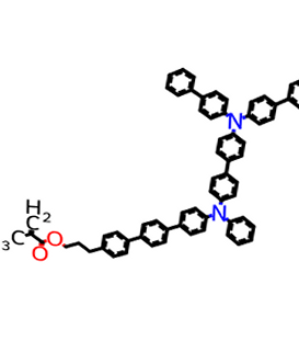 C=C(C)C(=O)OCCCc1ccc(-c2ccc(-c3ccc(N(c4ccccc4)c4ccc(-c5ccc(N(c6ccc(-c7ccccc7)cc6)c6ccc(-c7ccccc7)cc6)cc5)cc4)cc3)cc2)cc1